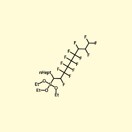 CCCCCCCC(C(F)C(F)(F)C(F)(F)C(F)(F)C(F)(F)C(F)C(F)C(F)F)[Si](OCC)(OCC)OCC